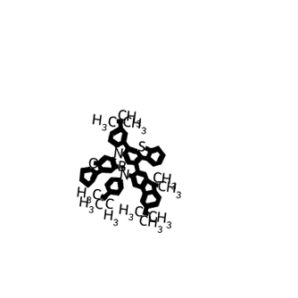 CC(C)(C)c1ccc(N2B3c4cc5c(cc4-n4c6ccc(C(C)(C)C)cc6c6c7sc8ccccc8c7c(c3c64)-c3cc4c(cc32)-c2cc(C(C)(C)C)ccc2C4(C)C)oc2ccccc25)cc1